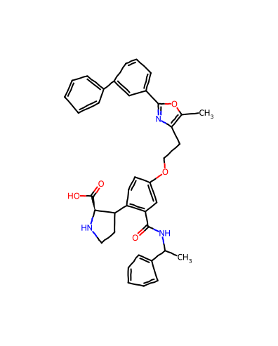 Cc1oc(-c2cccc(-c3ccccc3)c2)nc1CCOc1ccc(C2CCN[C@H]2C(=O)O)c(C(=O)NC(C)c2ccccc2)c1